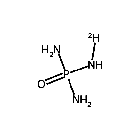 [2H]NP(N)(N)=O